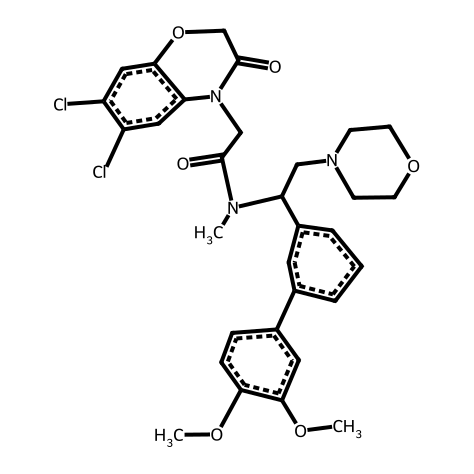 COc1ccc(-c2cccc(C(CN3CCOCC3)N(C)C(=O)CN3C(=O)COc4cc(Cl)c(Cl)cc43)c2)cc1OC